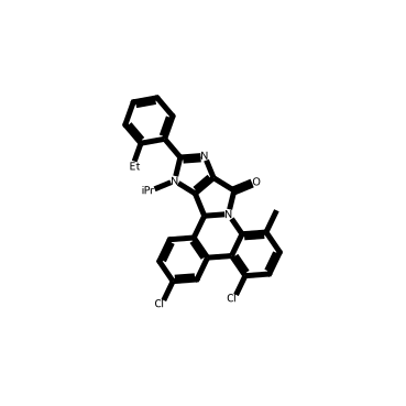 CCc1ccccc1-c1nc2c(n1C(C)C)C1c3ccc(Cl)cc3-c3c(Cl)ccc(C)c3N1C2=O